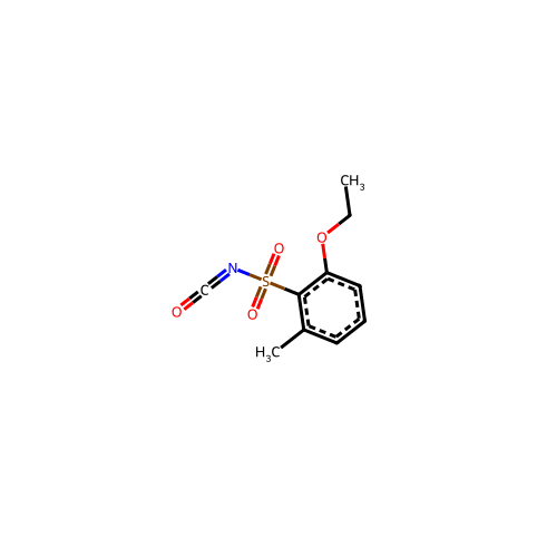 CCOc1cccc(C)c1S(=O)(=O)N=C=O